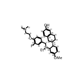 CCN(Cc1ccc(OCCN(C)C)c(F)c1)C1C=C(OC)C=CC1[C@@H]1CCc2cc(O)ccc2C1